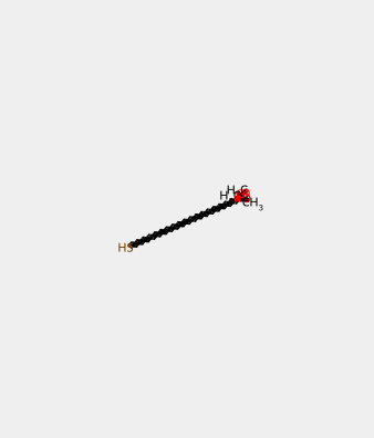 CO[Si](CCCCCCCCCCCCCCCCCCCCCCCCCCCCCCCCCCCCCCS)(OC)OC